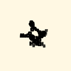 COC(=O)N1CCN(C(=O)c2nc(-c3ccc(OC(F)F)c(OCCCCC(=O)N4CCOCC4)c3)oc2[C@H](C)N)CC1